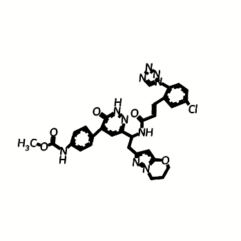 COC(=O)Nc1ccc(-c2cc(C(Cc3cc4n(n3)CCCO4)NC(=O)C=Cc3cc(Cl)ccc3-n3cnnn3)n[nH]c2=O)cc1